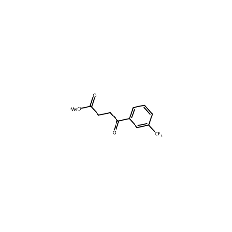 COC(=O)CCC(=O)c1cccc(C(F)(F)F)c1